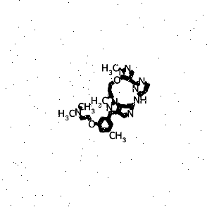 Cc1cc(OCCN(C)C)cc(-c2nn3c4cc(ncc24)Nc2ccnc(n2)-c2cnn(C)c2OCC[C@@H]3C)c1